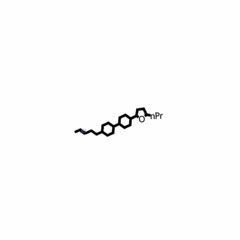 C/C=C/CCC1CCC(C2CCC(C3CCC(CCC)O3)CC2)CC1